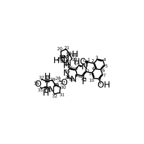 C#Cc1cccc2cc(O)cc(-c3ncc4c(N5C[C@H]6CC[C@@H](C5)N6)nc(OC[C@]56CCCN5[C@H]5COC[C@H]5C6)nc4c3F)c12